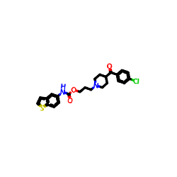 O=C(Nc1ccc2sccc2c1)OCCCN1CCC(C(=O)c2ccc(Cl)cc2)CC1